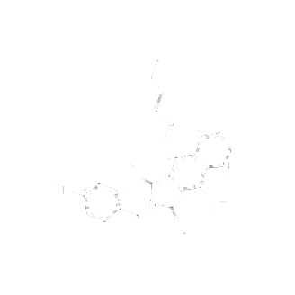 CC/C=C/COc1c2c(c(O)c3ncccc13)C(=O)N(Cc1ccc(F)cc1)C2=O